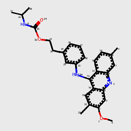 COc1cc2nc3cc(C)ccc3c(Nc3cccc(CCOC(=O)NC(C)C)c3)c2cc1C